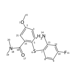 COc1ccc(Sc2ccc(F)cc2N)c(C(=O)N(C)C)c1